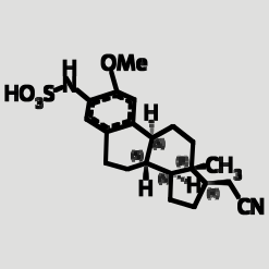 COc1cc2c(cc1NS(=O)(=O)O)CC[C@@H]1[C@@H]2CC[C@]2(C)[C@@H](CC#N)CC[C@@H]12